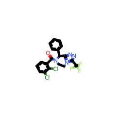 O=C(c1cccc(Cl)c1Cl)N1CCn2c(nnc2C(F)(F)F)C1c1ccccc1